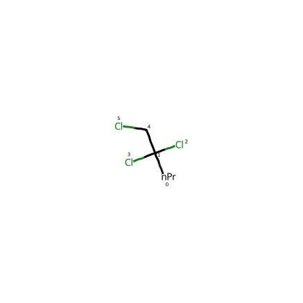 CCCC(Cl)(Cl)CCl